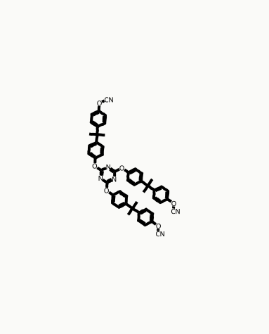 CC(C)(c1ccc(OC#N)cc1)c1ccc(Oc2nc(Oc3ccc(C(C)(C)c4ccc(OC#N)cc4)cc3)nc(Oc3ccc(C(C)(C)c4ccc(OC#N)cc4)cc3)n2)cc1